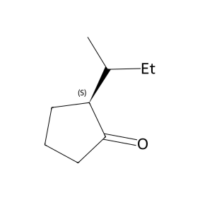 CCC(C)[C@@H]1CCCC1=O